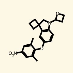 Cc1cc([N+](=O)[O-])cc(C)c1Oc1ccc2c(c1)C1(CCC1)CN2C1CCO1